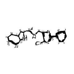 Clc1sc(-c2ccccc2)nc1CNCC1CC2CCCCC2N1